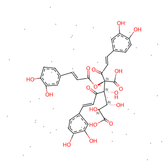 O=C(C=Cc1ccc(O)c(O)c1)O[C@](C(=O)O)(C(=O)C=Cc1ccc(O)c(O)c1)[C@](O)(C(=O)C=Cc1ccc(O)c(O)c1)[C@H](O)[C@H](O)C(=O)O